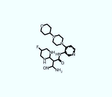 NC(N=O)C(C(=O)Nc1cnccc1N1CCN(C2CCOCC2)CC1)C1NCC(F)CN1